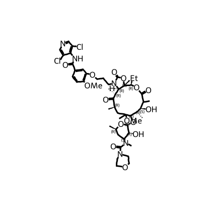 CC[C@H]1OC(=O)C(C)[C@@H](O)[C@H](C)[C@@H](O[C@@H]2O[C@H](C)C[C@H](N(C)C(=O)N3CCOCC3)[C@H]2O)C(C)(OC)C[C@@H](C)C(=O)[C@H](C)[C@H]2N(CCCOc3cc(C(=O)Nc4c(Cl)cncc4Cl)ccc3OC)C(=O)O[C@]12C